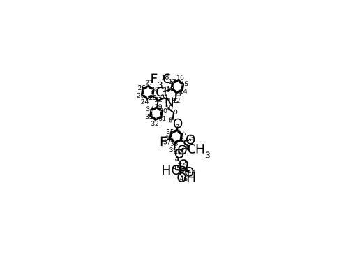 CS(=O)(=O)c1cc(OCCCN(Cc2cccc(C(F)(F)F)c2Cl)CC(c2ccccc2)c2ccccc2)cc(F)c1COCOP(=O)(O)O